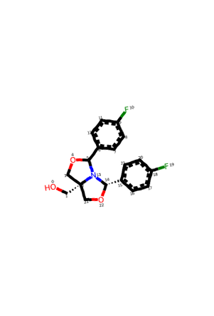 OC[C@]12COC(c3ccc(F)cc3)N1[C@H](c1ccc(F)cc1)OC2